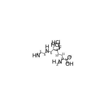 Cl.Cl.N=CCNC/C=C(/F)CC[C@H](N)C(=O)O